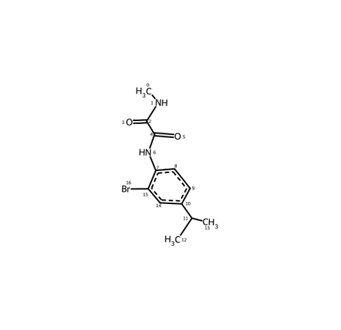 CNC(=O)C(=O)Nc1ccc(C(C)C)cc1Br